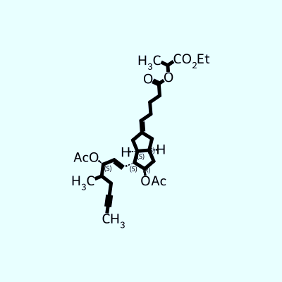 CC#CCC(C)[C@@H](C=C[C@@H]1[C@H]2CC(=CCCCC(=O)OC(C)C(=O)OCC)C[C@H]2C[C@H]1OC(C)=O)OC(C)=O